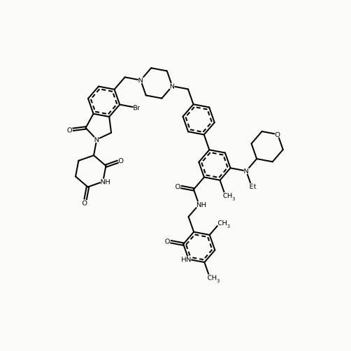 CCN(c1cc(-c2ccc(CN3CCN(Cc4ccc5c(c4Br)CN(C4CCC(=O)NC4=O)C5=O)CC3)cc2)cc(C(=O)NCc2c(C)cc(C)[nH]c2=O)c1C)C1CCOCC1